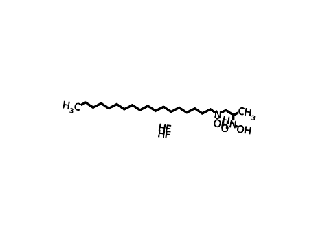 CCCCCCCCCCCCCCCCCCN(O)CC(C)N(O)O.F.F